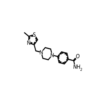 Cc1nc(CN2CCN(c3ccc(C(N)=O)cc3)CC2)cs1